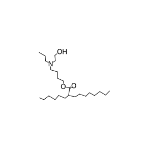 CCCCCCCCC(CCCCCC)C(=O)OCCCCN(CCC)CCO